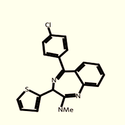 CNC1=Nc2ccccc2C(c2ccc(Cl)cc2)=NC1c1cccs1